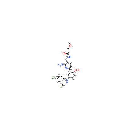 COCCC(=O)NCc1ccc(-c2cc(Nc3ccc(Cl)cc3CF)ccc2O)nc1N